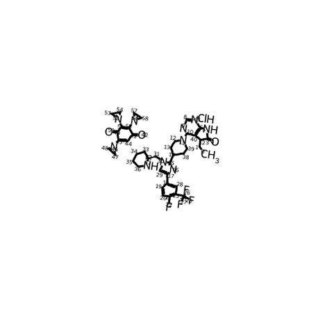 CCC1C(=O)Nc2ncnc(N3CCC(c4nc(-c5ccc(F)c(C(F)(F)F)c5)cn4C[C@@H]4CCCCN4)CC3)c21.Cl.O=C1C=C(N2CC2)C(=O)C(N2CC2)=C1N1CC1